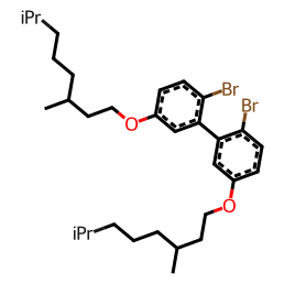 CC(C)CCCC(C)CCOc1ccc(Br)c(-c2cc(OCCC(C)CCCC(C)C)ccc2Br)c1